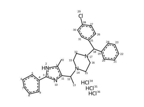 Cc1[nH]c(-c2ccccc2)nc1C(C)N1CCN(C(c2ccccc2)c2ccc(Cl)cc2)CC1.Cl.Cl.Cl